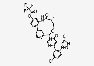 C[C@@H]1CCC[C@H](n2cnc(-c3cc(Cl)ccc3-n3cc(Cl)nn3)cc2=O)c2cc(ccn2)-c2ccc(OC(=O)C(F)(F)F)cc2NC1=O